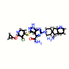 NC(=O)c1nc(N2CCC3(CC2)Cc2ncccc2[C@H]3N)nc2[nH]nc(Sc3ccnc(OC4CC4)c3Cl)c12